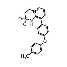 Cc1ccc(Oc2ccc(-c3ccc[n+]4c3NS(=O)(=O)CC4)cc2)cc1